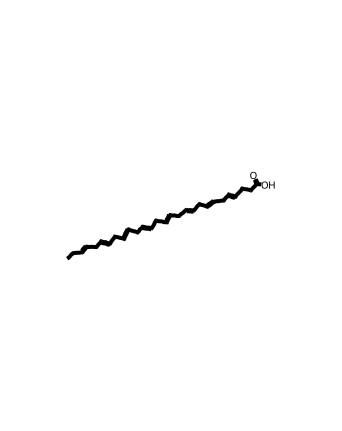 CCC=CCC=CCC=CCC=CCC=CCC=CCC=CCC=CCCC(=O)O